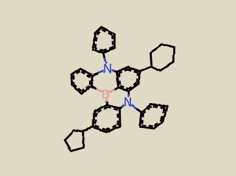 c1ccc(N2c3ccccc3B3c4cc(C5CCCC5)ccc4N(c4ccccc4)c4cc(C5CCCCC5)cc2c43)cc1